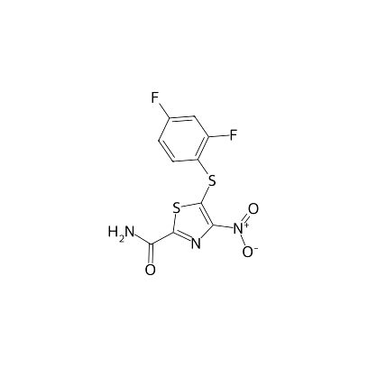 NC(=O)c1nc([N+](=O)[O-])c(Sc2ccc(F)cc2F)s1